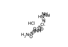 Cc1cc(-n2ccc(NC(=O)N3CCN(C(=O)C(C)(C)N)CC3)nc2=O)ccc1CN1CCC(NC(=N)N)CC1.Cl